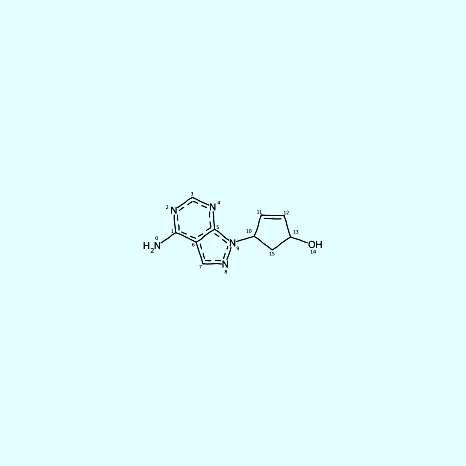 Nc1ncnc2c1cnn2C1C=CC(O)C1